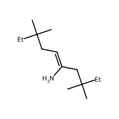 CCC(C)(C)C/C=C(\N)CC(C)(C)CC